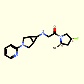 N#C[C@@H]1C[C@H](F)CN1C(=O)CNC1C2CN(c3ccccn3)CC21